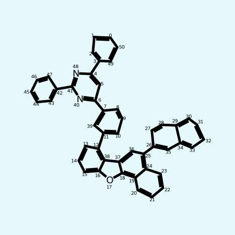 c1ccc(-c2cc(-c3cccc(-c4cccc5oc6c7ccccc7c(-c7ccc8ccccc8c7)cc6c45)c3)nc(-c3ccccc3)n2)cc1